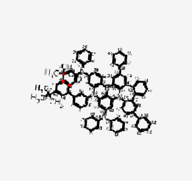 CC(C)(C)c1cc(-c2cccc(N3c4cc(N(c5ccccc5)c5ccccc5)ccc4B4c5cc(-c6ccccc6)cc6c5N(c5ccc(-c7ccccc7)cc5-c5ccccc5-6)c5cc(N(c6ccccc6)c6ccccc6)cc3c54)c2)cc(C(C)(C)C)c1